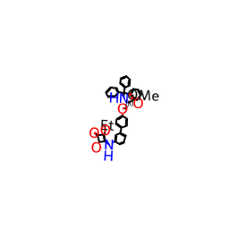 CCOc1c(Nc2cccc(-c3ccc(OC[C@H](NC(c4ccccc4)(c4ccccc4)c4ccccc4)C(=O)OC)cc3)c2)c(=O)c1=O